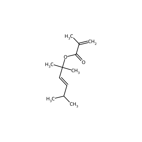 C=C(C)C(=O)OC(C)(C)C=CC(C)C